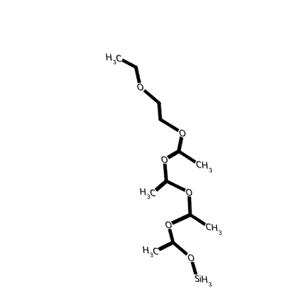 CCOCCOC(C)OC(C)OC(C)OC(C)O[SiH3]